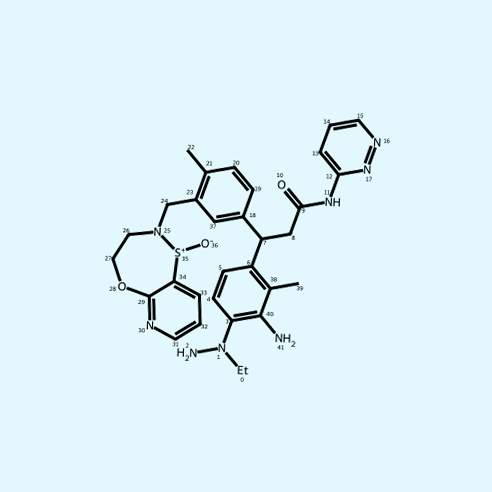 CCN(N)c1ccc(C(CC(=O)Nc2cccnn2)c2ccc(C)c(CN3CCOc4ncccc4[S+]3[O-])c2)c(C)c1N